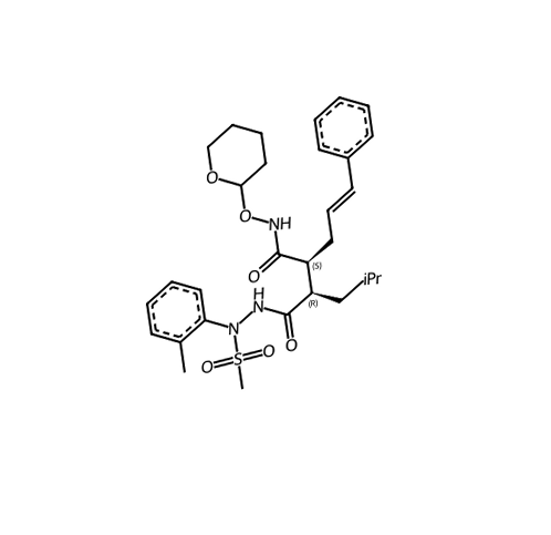 Cc1ccccc1N(NC(=O)[C@H](CC(C)C)[C@H](CC=Cc1ccccc1)C(=O)NOC1CCCCO1)S(C)(=O)=O